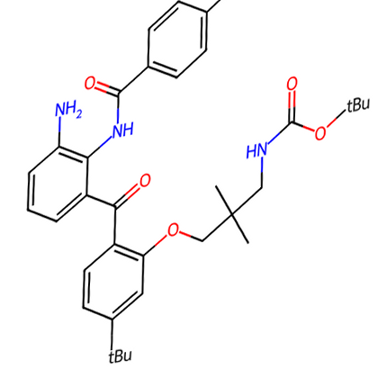 COc1ccc(C(=O)Nc2c(N)cccc2C(=O)c2ccc(C(C)(C)C)cc2OCC(C)(C)CNC(=O)OC(C)(C)C)cc1